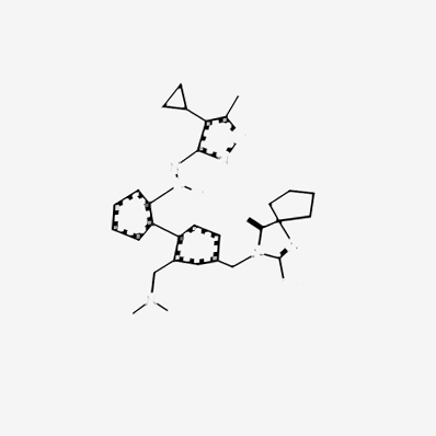 CCCCC1=NC2(CCCC2)C(=O)N1Cc1ccc(-c2ccccc2[S+]([O-])Nc2noc(C)c2C2CC2)c(CN(C)C)c1